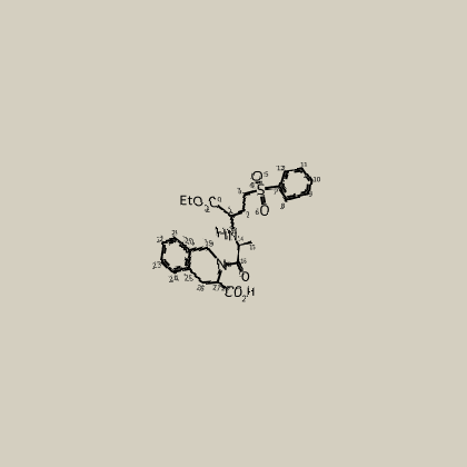 CCOC(=O)C(CCS(=O)(=O)c1ccccc1)N[C@@H](C)C(=O)N1Cc2ccccc2CC1C(=O)O